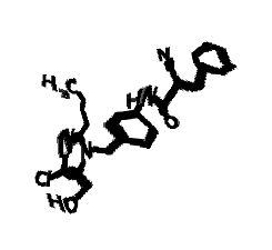 CCCCc1nc(Cl)c(CO)n1Cc1ccc(NC(=O)C(C#N)Cc2ccccc2)cc1